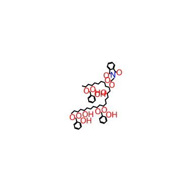 CC1CC(CCCC2CC(CC(O)CCCC3CC(CCCC(O)CC4CCOC(c5ccccc5O)O4)OC(c4ccccc4O)O3)OC(CN3C(=O)c4ccccc4C3=O)O2)OC(c2ccccc2O)O1